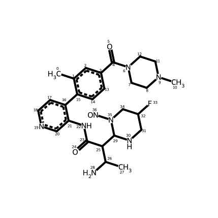 Cc1cc(C(=O)N2CCN(C)CC2)ccc1-c1ccncc1NC(=O)C(C(C)N)C1NCC(F)CN1N=O